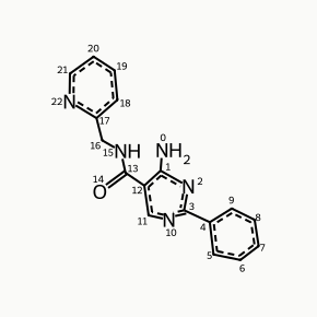 Nc1nc(-c2ccccc2)ncc1C(=O)NCc1ccccn1